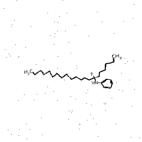 CCCCCCCCCCCCCCC(F)(CCCCCC)Nc1ccccc1